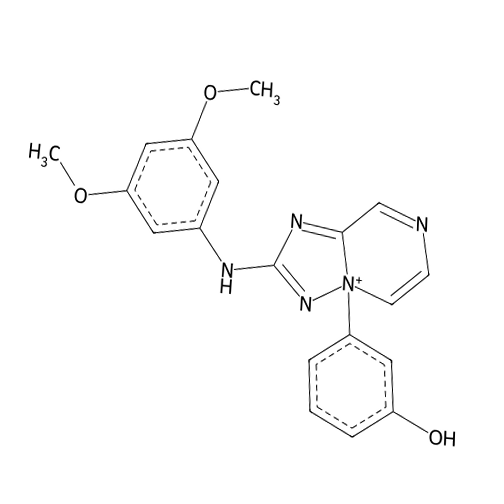 COc1cc(NC2=N[N+]3(c4cccc(O)c4)C=CN=CC3=N2)cc(OC)c1